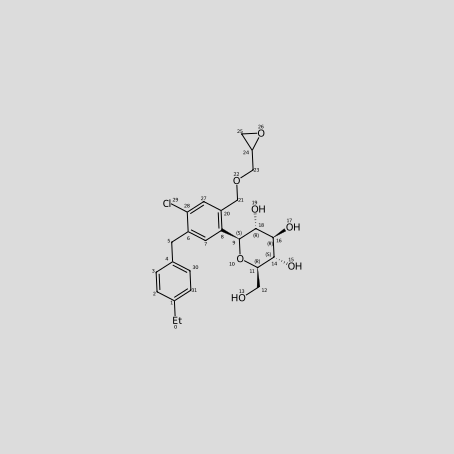 CCc1ccc(Cc2cc([C@@H]3O[C@H](CO)[C@@H](O)[C@H](O)[C@H]3O)c(COCC3CO3)cc2Cl)cc1